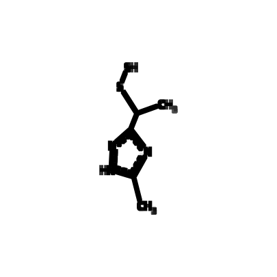 Cc1nc(C(C)SS)n[nH]1